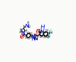 CN(C)CC1CCN(C(=O)c2ccc(-n3cc(-c4cc5cc(F)c(F)cc5[nH]c4=O)nn3)cc2)C1